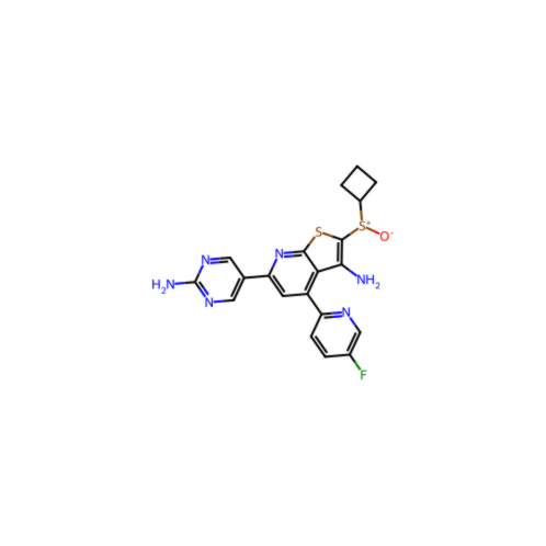 Nc1ncc(-c2cc(-c3ccc(F)cn3)c3c(N)c([S+]([O-])C4CCC4)sc3n2)cn1